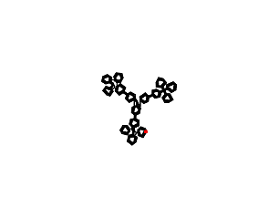 c1ccc(C(c2ccccc2)(c2ccccc2)c2ccc(-c3ccc(N(c4ccc(-c5ccc([Si](c6ccccc6)(c6ccccc6)c6ccccc6)cc5)cc4)c4ccc(-c5ccc([Si](c6ccccc6)(c6ccccc6)c6ccccc6)cc5)cc4)cc3)cc2)cc1